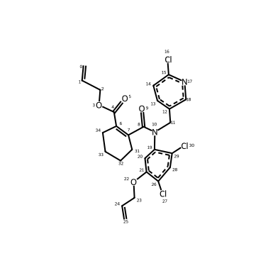 C=CCOC(=O)C1=C(C(=O)N(Cc2ccc(Cl)nc2)c2cc(OCC=C)c(Cl)cc2Cl)CCCC1